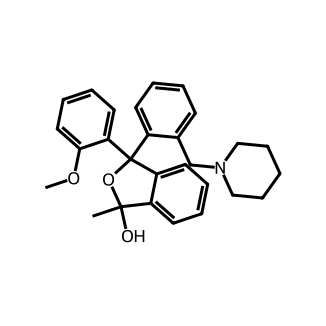 COc1ccccc1C1(c2ccccc2CN2CCCCC2)OC(C)(O)c2ccccc21